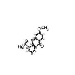 COc1ccc2c(=O)c3cccc(C(=O)O)c3sc2c1